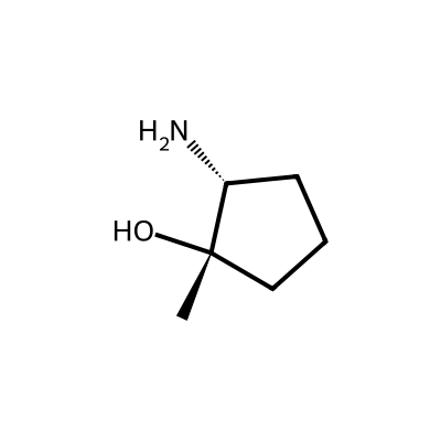 C[C@]1(O)CCC[C@H]1N